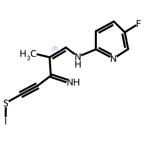 C/C(=C/Nc1ccc(F)cn1)C(=N)C#CSI